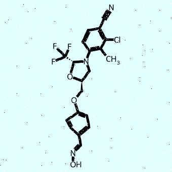 Cc1c(N2C[C@@H](COc3ccc(C=NO)cc3)O[C@@H]2C(F)(F)F)ccc(C#N)c1Cl